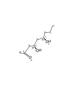 CCC[C@@H](O)C[C@@H](O)CC(C)=O